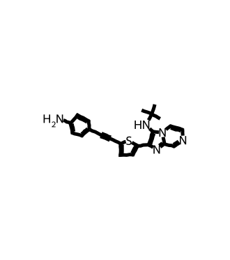 CC(C)(C)Nc1c(-c2ccc(C#Cc3ccc(N)cc3)s2)nc2cnccn12